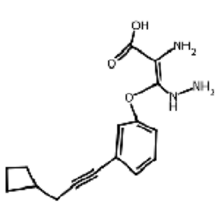 NN/C(Oc1cccc(C#CCC2CCC2)c1)=C(\N)C(=O)O